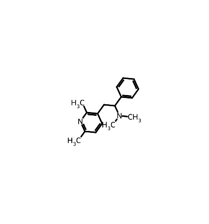 Cc1ccc(CC(c2ccccc2)N(C)C)c(C)n1